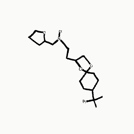 CCN(CCC1COC2(CCC(C(C)(C)C(C)C)CC2)O1)CC1CCCO1